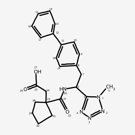 Cn1nnnc1C(Cc1ccc(-c2ccccc2)cc1)NC(=O)C1(CC(=O)O)CCCC1